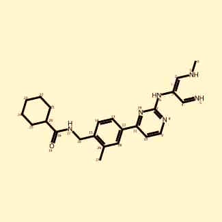 CN/C=C(\C=N)Nc1nccc(-c2ccc(CNC(=O)C3CCCCC3)c(C)c2)n1